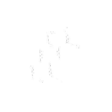 COc1cc2nccc(I)c2cc1C(N)=O